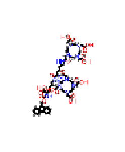 O=C(O)CN1CCN(CC(=O)O)CCN(CC(=O)NCCCCC(NC(=O)CN2CCN(CC(=O)O)CCN(CC(=O)O)CCN(CC(=O)O)CC2)C(=O)NCCCCC(NC(=O)OCC2c3ccccc3-c3ccccc32)C(=O)O)CCN(CC(=O)O)CC1